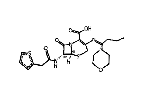 CCCC(=NC1=C(C(=O)O)N2C(=O)[C@@H](NC(=O)Cc3cccs3)[C@@H]2SC1)N1CCOCC1